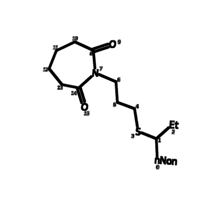 CCCCCCCCCC(CC)SCCCN1C(=O)CCCCC1=O